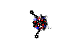 CC(C)(CCCCc1ccccc1)C(=O)Nc1ccc(F)[c]([Ti]([C]2=CC=CC2)([C]2=CC=CC2)[c]2c(F)ccc(NC(=O)C(C)(C)CCCCc3ccccc3)c2F)c1F.CCCCN(C(=O)C(C)(C)CCC)c1ccc(F)[c]([Ti]([C]2=CC=CC2)([C]2=CC=CC2)[c]2c(F)ccc(N(CCCC)C(=O)C(C)(C)CCC)c2F)c1F